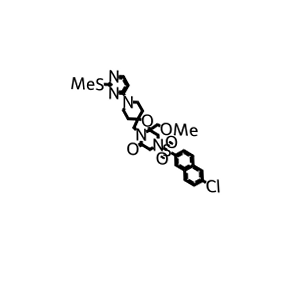 COCC12CN(S(=O)(=O)c3ccc4cc(Cl)ccc4c3)CC(=O)N1CC1(CCN(c3ccnc(SC)n3)CC1)O2